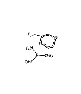 FC(F)(F)c1cnccn1.NN(C=O)C=O